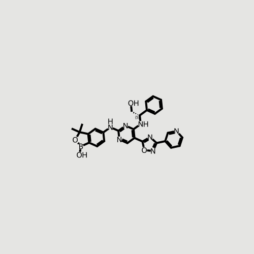 CC1(C)OB(O)c2ccc(Nc3ncc(-c4nc(-c5cccnc5)no4)c(N[C@H](CO)c4ccccc4)n3)cc21